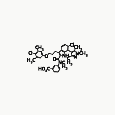 Cc1cc(OCCCc2c(C(=O)N(C)c3cccc(C(=O)O)c3)[nH]c3c(-c4c(C)nn(C)c4C)c(Cl)ccc23)cc(C)c1Cl